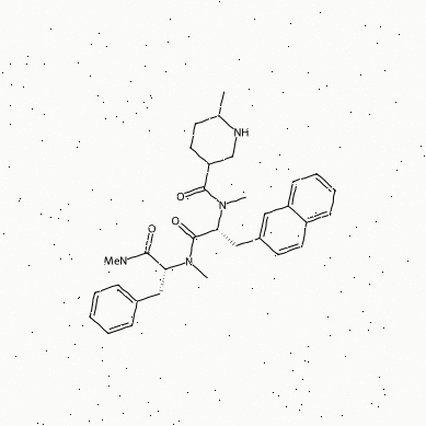 CNC(=O)[C@@H](Cc1ccccc1)N(C)C(=O)[C@@H](Cc1ccc2ccccc2c1)N(C)C(=O)C1CCC(C)NC1